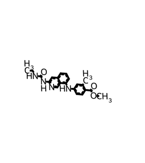 CCNC(=O)Nc1cc2cccc(Nc3ccc(C(=O)OC)c(C)c3)c2cn1